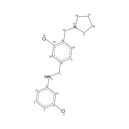 Clc1cccc(NCc2ccc(CN3CCCC3)c(Cl)c2)c1